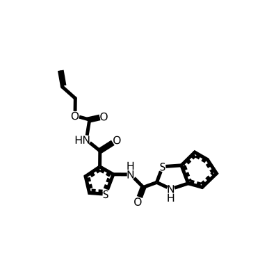 C=CCOC(=O)NC(=O)c1ccsc1NC(=O)C1Nc2ccccc2S1